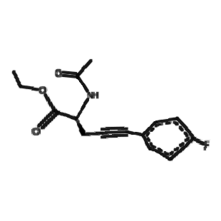 CCOC(=O)[C@H](CC#Cc1ccc(F)cc1)NC(C)=O